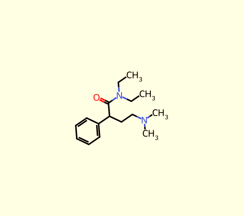 CCN(CC)C(=O)C(CCN(C)C)c1ccccc1